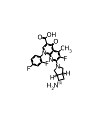 Cc1c(F)c(N2C[C@@H]3C[C@H](N)[C@@H]3C2)nc2c1c(=O)c(C(=O)O)cn2-c1ccc(F)cc1F